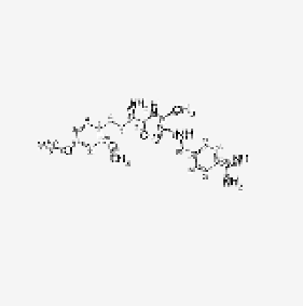 COc1ccc(CC[C@@H](N)C(=O)N[C@@H](C)C(=O)NCc2ccc(C(=N)N)cc2)c(OC)c1